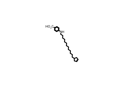 O=C(O)c1ccc(NCCCCCCCCCCCCCC2CC=CC2)cc1